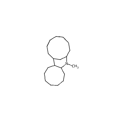 CN1C2CCCCCCCC(C2)C2CCCCCCCC21